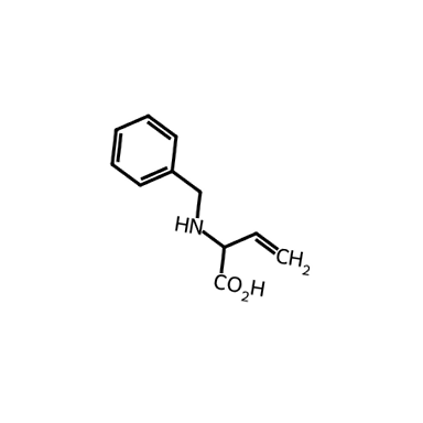 C=CC(NCc1ccccc1)C(=O)O